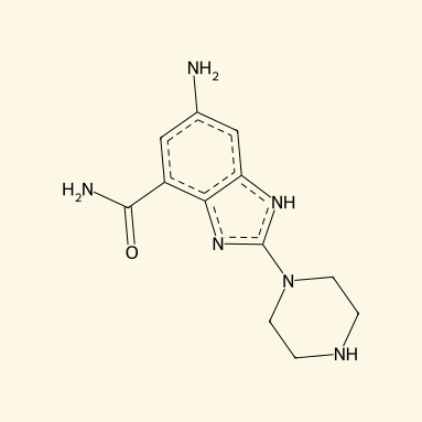 NC(=O)c1cc(N)cc2[nH]c(N3CCNCC3)nc12